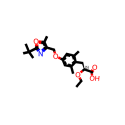 CCO[C@@H](Cc1c(C)cc(OCc2nc(C(C)(C)C)oc2C)cc1C)C(=O)O